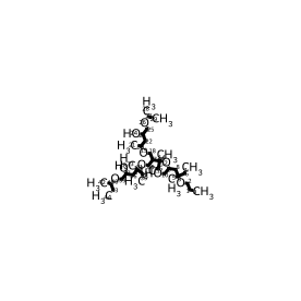 CCCOC(C)(CC)CC(CO)OC(C)(CC)C(COC(C)CC(O)COC(C)C)COC(C)(CC)CC(O)COC(C)CC